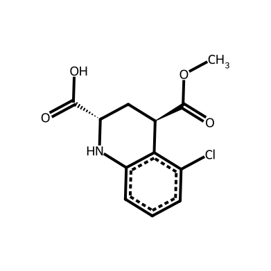 COC(=O)[C@@H]1C[C@@H](C(=O)O)Nc2cccc(Cl)c21